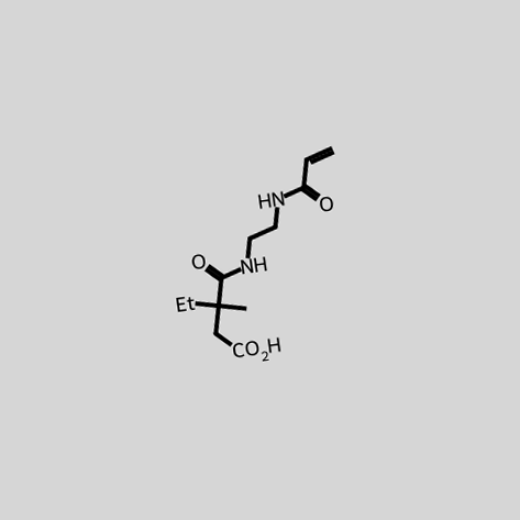 C=CC(=O)NCCNC(=O)C(C)(CC)CC(=O)O